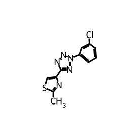 Cc1nc(-c2nnn(-c3cccc(Cl)c3)n2)cs1